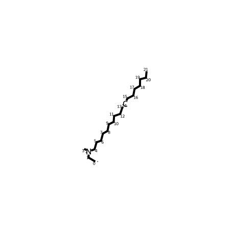 [CH2]CN(C)CCCCCCCCCCCCCCCCCC